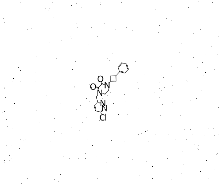 O=C1C(=O)N(C2CC(c3ccccc3)C2)CCN1Cc1ccc(Cl)nn1